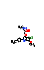 CNCC(O)COc1cc(-c2ccc(C)cc2)nc2cc(OC)ccc12.Cl